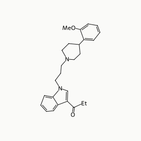 CCC(=O)c1cn(CCCN2CCC(c3ccccc3OC)CC2)c2ccccc12